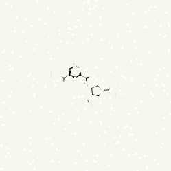 CC(C)c1cnnc(C(=O)N[C@@H]2CN(C(C)C)C[C@@H]2CO)c1